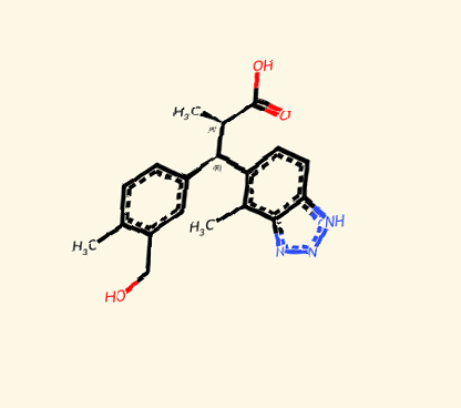 Cc1ccc([C@H](c2ccc3[nH]nnc3c2C)[C@@H](C)C(=O)O)cc1CO